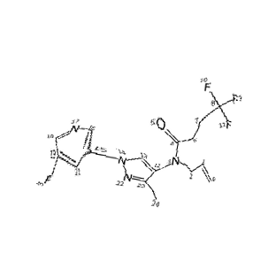 C=CCN(C(=O)CCC(F)(F)F)c1cn(-c2cncc(F)c2)nc1C